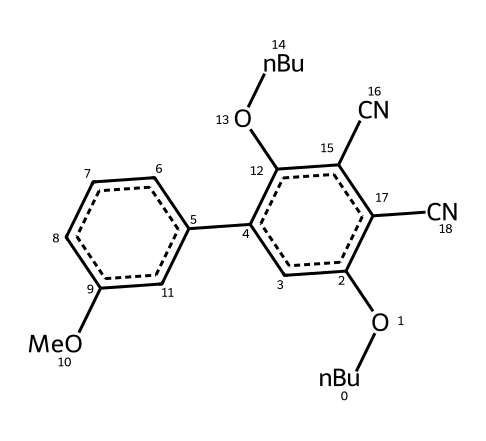 CCCCOc1cc(-c2cccc(OC)c2)c(OCCCC)c(C#N)c1C#N